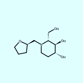 OC[C@@H]1[C@@H](O)[C@H](O)CCN1C[C@H]1CCCO1